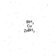 B.[BiH3].[Cu].[Zn]